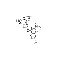 COc1ccc2c(O[C@@H]3C[C@@H](C(=O)O)N(C(=O)OC(C)(C)C)C3)nc3c(c2c1)OCCN3C